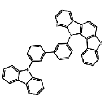 c1cc(-c2cccc(-n3c4ncccc4c4ccc5sc6ccccc6c5c43)c2)cc(-n2c3ccccc3c3ccccc32)c1